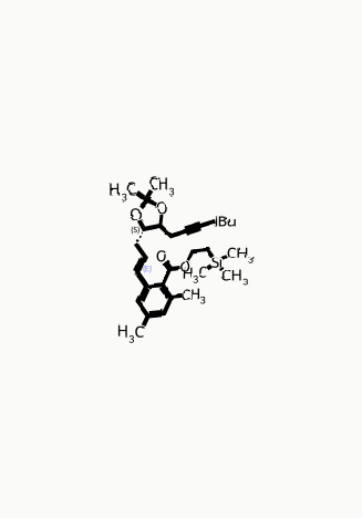 CCC(C)C#CCC1OC(C)(C)O[C@H]1C/C=C/c1cc(C)cc(C)c1C(=O)OCC[Si](C)(C)C